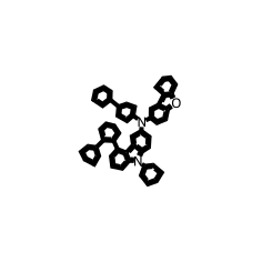 c1ccc(-c2ccc(N(c3ccc4oc5ccccc5c4c3)c3ccc4c(c3)c3c(-c5ccccc5-c5ccccc5)cccc3n4-c3ccccc3)cc2)cc1